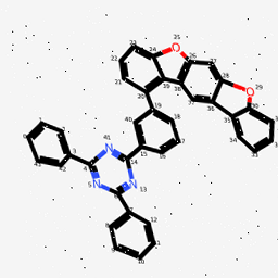 c1ccc(-c2nc(-c3ccccc3)nc(-c3cccc(-c4cccc5oc6cc7oc8ccccc8c7cc6c45)c3)n2)cc1